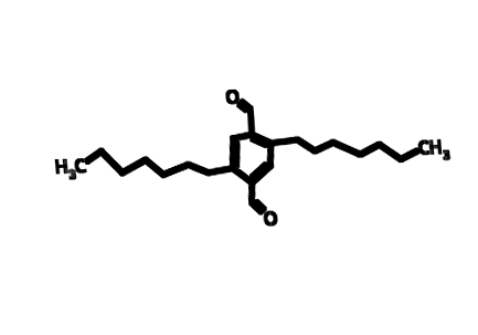 CCCCCCCc1cc(C=O)c(CCCCCCC)cc1C=O